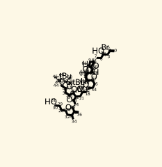 C=C(Br)C[C@H](O)CC[C@@]12C[C@H]3O[C@H]4C(O1)[C@H]1O[C@@H](CC(=O)CC5C(C[C@H]6OC(CCCO)CC(C)C6=C)OC(CC(CO[Si](C)(C)C(C)(C)C)O[Si](C)(C)C(C)(C)C)[C@@H]5OC)CCC1O[C@H]4C3O2